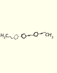 CCC#Cc1ccc(C#Cc2ccc([C@H]3CC[C@H](CCCC)CC3)cc2)cc1